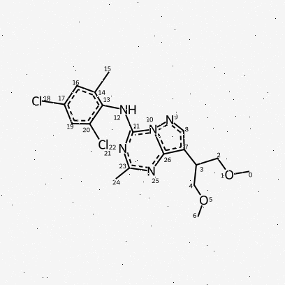 COCC(COC)c1cnn2c(Nc3c(C)cc(Cl)cc3Cl)nc(C)nc12